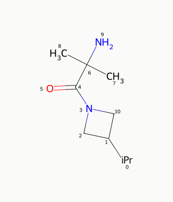 CC(C)C1CN(C(=O)C(C)(C)N)C1